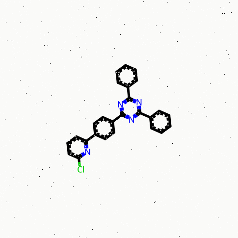 Clc1cccc(-c2ccc(-c3nc(-c4ccccc4)nc(-c4ccccc4)n3)cc2)n1